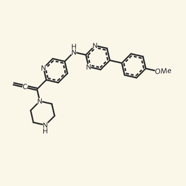 C=C=C(c1ccc(Nc2ncc(-c3ccc(OC)cc3)cn2)cn1)N1CCNCC1